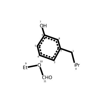 CC(C)Cc1cccc(O)c1.CCOC=O